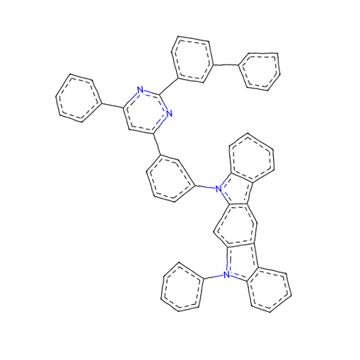 c1ccc(-c2cccc(-c3nc(-c4ccccc4)cc(-c4cccc(-n5c6ccccc6c6cc7c8ccccc8n(-c8ccccc8)c7cc65)c4)n3)c2)cc1